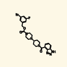 O=C(OCc1cc(F)cc(Br)c1)N1CCN(C2CCN(C(=O)c3cccc4[nH]nnc34)CC2)CC1